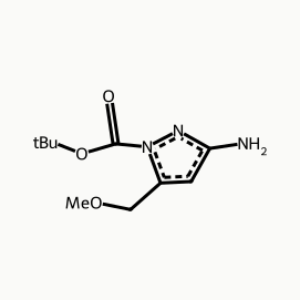 COCc1cc(N)nn1C(=O)OC(C)(C)C